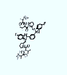 CN[C@H](C)C(=O)N[C@@H](C(=O)N1CCC/C1=C\n1c(-c2cccc(-c3nc4cc(F)ccc4n3C[C@@H]3CCCN3C(=O)[C@H](NC(=O)[C@@H](C)NC)C(C)C)c2)nc2cc(F)ccc21)C(C)C